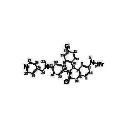 CC(C)N(C)c1ccc2c(c1)C(c1ccc(Cl)cc1)N(c1ccc(N(C)Cc3ccncc3)cc1)C(=O)C2